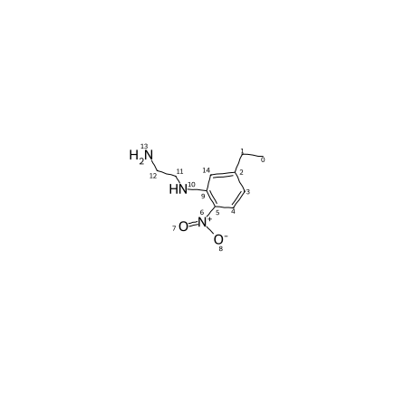 CCc1ccc([N+](=O)[O-])c(NCCN)c1